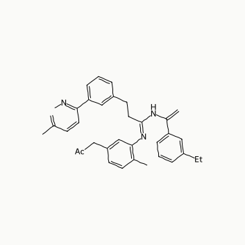 C=C(C)/C=C\C(=N/C)c1cccc(CC/C(=N\c2cc(CC(C)=O)ccc2C)NC(=C)c2cccc(CC)c2)c1